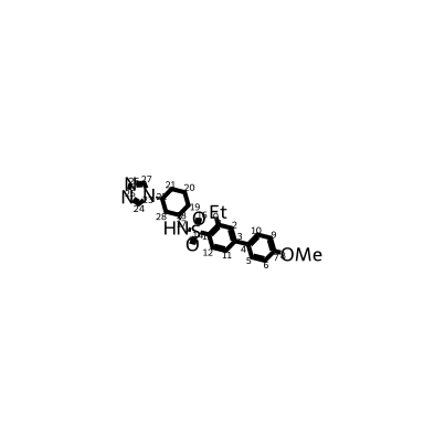 CCc1cc(-c2ccc(OC)cc2)ccc1S(=O)(=O)N[C@H]1CCC[C@@H](n2cnnc2)C1